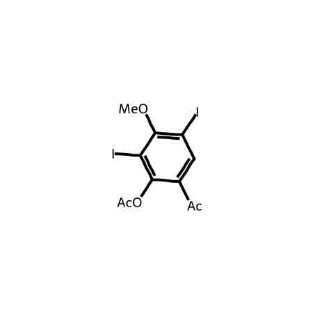 COc1c(I)cc(C(C)=O)c(OC(C)=O)c1I